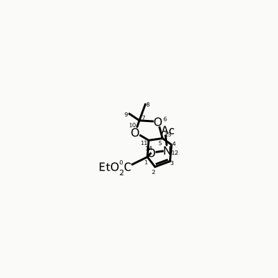 CCOC(=O)C12C=CC(C3OC(C)(C)OC31)N(C(C)=O)O2